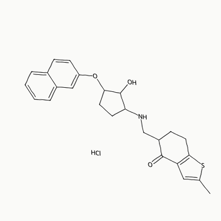 Cc1cc2c(s1)CCC(CNC1CCC(Oc3ccc4ccccc4c3)C1O)C2=O.Cl